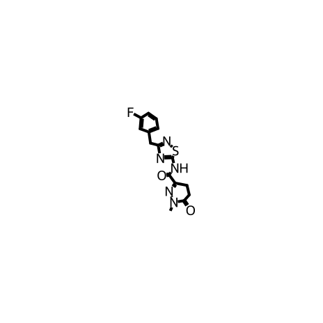 CN1N=C(C(=O)Nc2nc(Cc3cccc(F)c3)ns2)CCC1=O